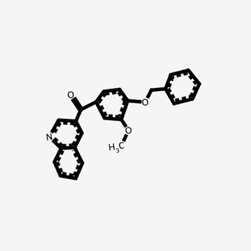 COc1cc(C(=O)c2cnc3ccccc3c2)ccc1OCc1ccccc1